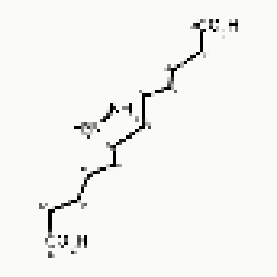 NN.O=C(O)CCCCCCCCCCC(=O)O